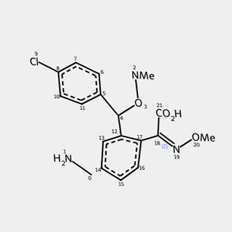 CN.CNOC(c1ccc(Cl)cc1)c1ccccc1/C(=N/OC)C(=O)O